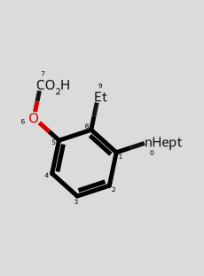 CCCCCCCc1cccc(OC(=O)O)c1CC